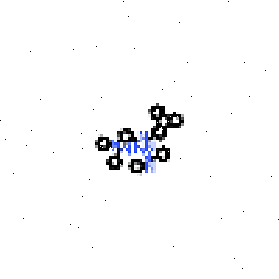 c1ccc(-c2nc3ccccc3n2-c2nc(-c3ccc4c5ccccc5c5ccccc5c4c3)nc(-c3cccc4c3nc(-c3ccccc3)n4-c3ccccc3)n2)cc1